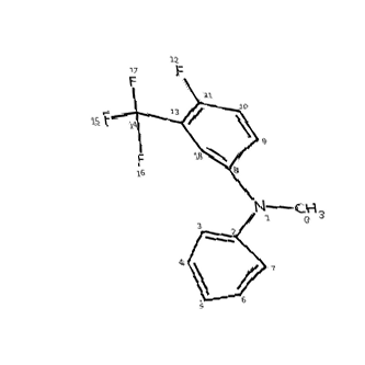 CN(c1cc[c]cc1)c1ccc(F)c(C(F)(F)F)c1